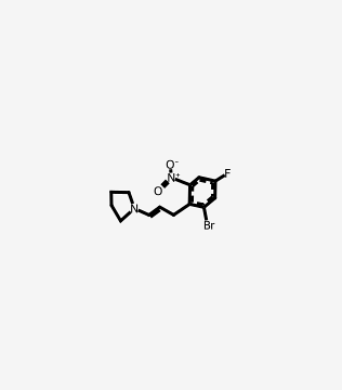 O=[N+]([O-])c1cc(F)cc(Br)c1CC=CN1CCCC1